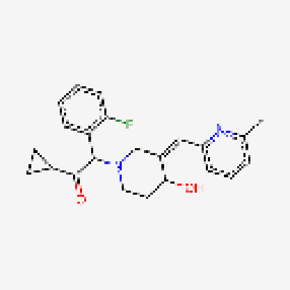 Cc1cccc(/C=C2/CN(C(C(=O)C3CC3)c3ccccc3F)CCC2O)n1